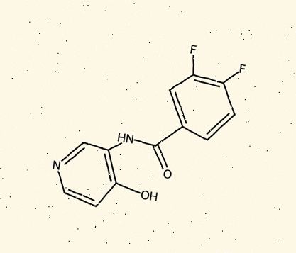 O=C(Nc1cnccc1O)c1ccc(F)c(F)c1